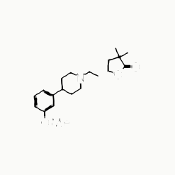 COc1cccc(C2CCN(CC[C@@H]3CC(C)(C)C(=O)O3)CC2)c1